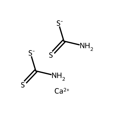 NC(=S)[S-].NC(=S)[S-].[Ca+2]